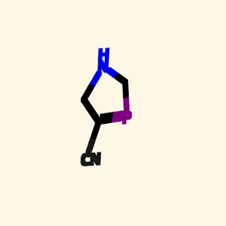 N#CC1=PCNC1